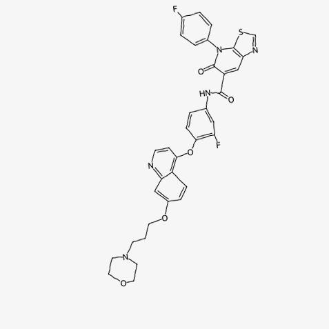 O=C(Nc1ccc(Oc2ccnc3cc(OCCCN4CCOCC4)ccc23)c(F)c1)c1cc2ncsc2n(-c2ccc(F)cc2)c1=O